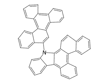 c1ccc2c(c1)ccc1c2c2ccccc2c2c3ccccc3n(-c3cc4c5ccccc5c5ccccc5c4c4ccccc34)c12